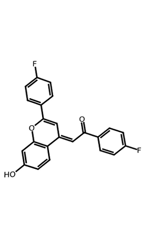 O=C(C=C1C=C(c2ccc(F)cc2)Oc2cc(O)ccc21)c1ccc(F)cc1